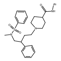 CC(C)NC(=O)C1CCN(CCC(CN(C)S(=O)(=O)c2ccccc2)c2ccccc2)CC1